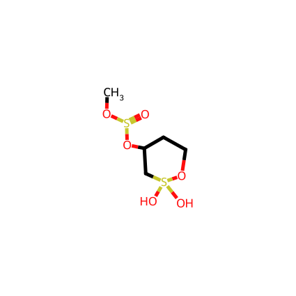 COS(=O)OC1CCOS(O)(O)C1